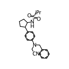 CC(C)S(=O)(=O)NC1CCCC1c1ccc(N(CC#N)Cc2ccccc2)cc1